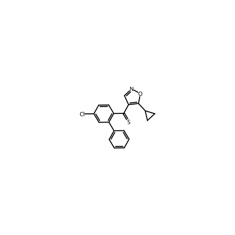 S=C(c1ccc(Cl)cc1-c1ccccc1)c1cnoc1C1CC1